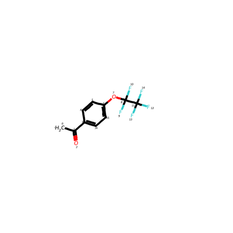 [CH2]C(=O)c1ccc(OC(F)(F)C(F)(F)F)cc1